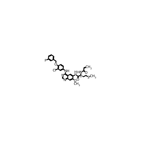 C=CC(=O)N[C@@H](CCSC)C(=O)Nc1cc2c(Nc3ccc(OCc4cccc(F)c4)c(Cl)c3)ncnc2cc1OC